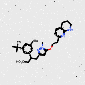 Cn1nc(CC(CC(=O)O)c2cc(C(C)(C)C)cc(C(C)(C)C#N)c2)cc1OCCc1ccc2c(n1)NCCC2